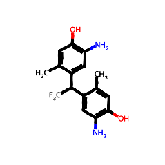 Cc1cc(O)c(N)cc1C(c1cc(N)c(O)cc1C)C(F)(F)F